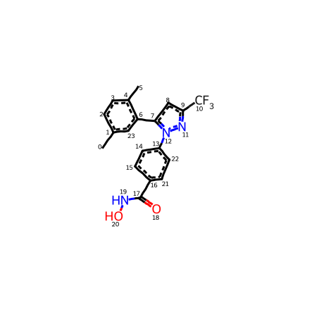 Cc1ccc(C)c(-c2cc(C(F)(F)F)nn2-c2ccc(C(=O)NO)cc2)c1